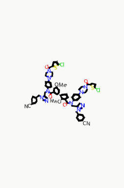 COc1cccc(C(=O)N(Cc2cncn2Cc2ccc(C#N)cc2)c2ccc(N3CCN(C(=O)c4ccc(Cl)s4)CC3)cc2)c1.COc1ccccc1C(=O)N(Cc1cncn1Cc1ccc(C#N)cc1)c1ccc(N2CCN(C(=O)c3ccc(Cl)s3)CC2)cc1